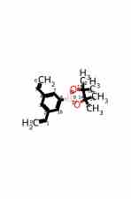 C=Cc1cc(C=C)cc(B2OC(C)(C)C(C)(C)O2)c1